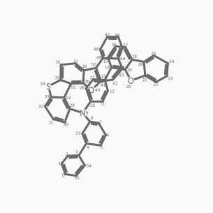 c1ccc(-c2cccc(N(c3ccc(-c4cccc5c4oc4ccccc45)cc3)c3cccc4sc5ccc6c(oc7ccc8ccccc8c76)c5c34)c2)cc1